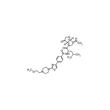 CN[C@H]1CN(C(=O)C(CC(C)C)NC(=O)c2ccc(-c3csc(N4CCN(CCOC)CC4)n3)cc2)[C@@H]2C(=O)CO[C@H]12